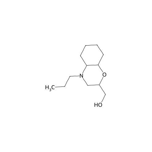 CCCN1CC(CO)OC2CCCCC21